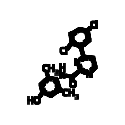 Cc1cc(O)cc(C)c1NC(=O)c1nccc(-c2cc(Cl)ccc2Cl)n1